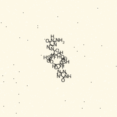 Nc1nc2c(ncn2[C@@H]2O[C@@H]3CO[P@@](=O)(S)O[C@H]4[C@H](F)[C@H](n5cnc6c(=O)[nH]cnc65)O[C@@H]4CO[P@](=O)(S)O[C@@H]2[C@@H]3F)c(=O)[nH]1